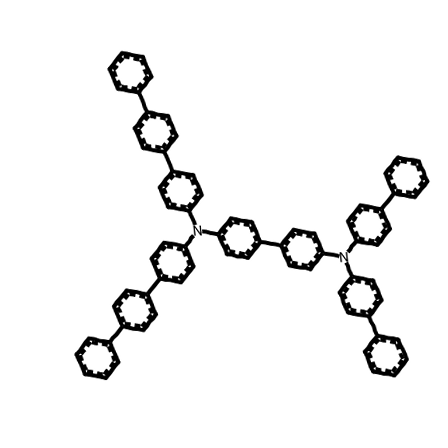 c1ccc(-c2ccc(-c3ccc(N(c4ccc(-c5ccc(-c6ccccc6)cc5)cc4)c4ccc(-c5ccc(N(c6ccc(-c7ccccc7)cc6)c6ccc(-c7ccccc7)cc6)cc5)cc4)cc3)cc2)cc1